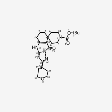 CC(C)(C)OC(=O)N1CCC2(CCCc3[nH]c4nc(C5=CCOCC5)nn4c(=O)c32)CC1